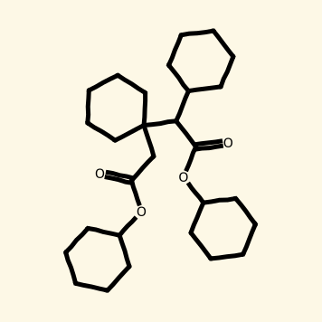 O=C(CC1(C(C(=O)OC2CCCCC2)C2CCCCC2)CCCCC1)OC1CCCCC1